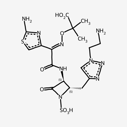 CC(C)(ON=C(C(=O)N[C@@H]1C(=O)N(S(=O)(=O)O)[C@H]1Cc1cn(CCN)nn1)c1csc(N)n1)C(=O)O